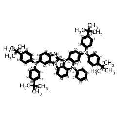 CC(C)(C)c1ccc(N(c2ccc(C(C)(C)C)cc2)c2ccc3c(c2)N(c2ccccc2)c2cccc4c2B3c2nc3ccc(N(c5ccc(C(C)(C)C)cc5)c5ccc(C(C)(C)C)cc5)cc3n2-4)cc1